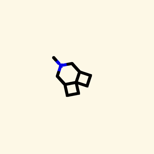 CN1CC2CCC23CCC3C1